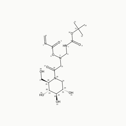 C=NC(=O)ON(CNC(=O)OC(C)(C)C)CC(=O)N1C[C@H](O)[C@@H](O)[C@H](O)[C@H]1CO